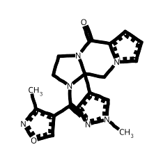 Cc1nocc1C(=O)N1CCN2C(=O)c3cccn3CC12c1cnn(C)c1